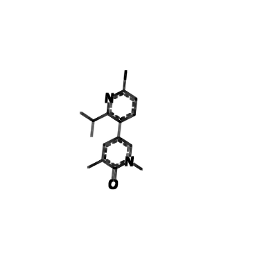 Cc1cc(-c2ccc(I)nc2C(C)C)cn(C)c1=O